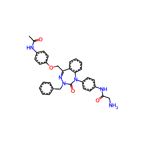 CC(=O)Nc1ccc(OCC2=NN(Cc3ccccc3)C(=O)N(c3ccc(NC(=O)CN)cc3)c3ccccc32)cc1